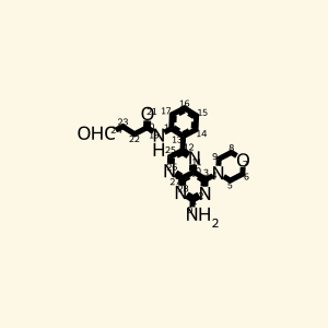 Nc1nc(N2CCOCC2)c2nc(-c3ccccc3NC(=O)CCC=O)cnc2n1